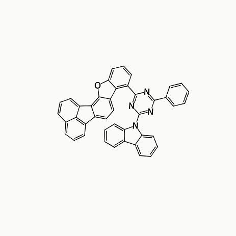 c1ccc(-c2nc(-c3cccc4oc5c6c(ccc5c34)-c3cccc4cccc-6c34)nc(-n3c4ccccc4c4ccccc43)n2)cc1